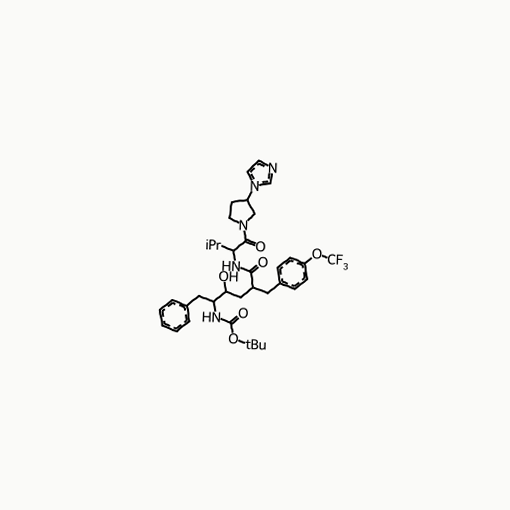 CC(C)C(NC(=O)C(Cc1ccc(OC(F)(F)F)cc1)CC(O)C(Cc1ccccc1)NC(=O)OC(C)(C)C)C(=O)N1CCC(n2ccnc2)C1